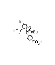 CCCCc1nc2cc(Br)cc(C(=O)O)c2n1Cc1ccc(C(=O)O)cc1